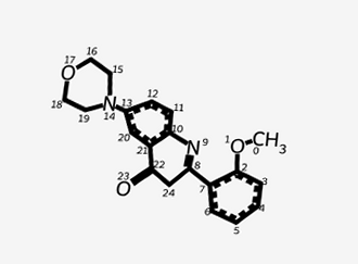 COc1ccccc1C1=Nc2ccc(N3CCOCC3)cc2C(=O)C1